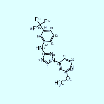 COc1cc(-n2cnc(Nc3cccc(C(F)(F)F)c3)n2)ccn1